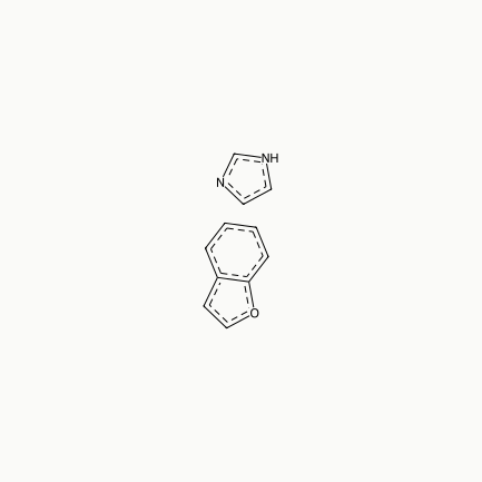 c1c[nH]cn1.c1ccc2occc2c1